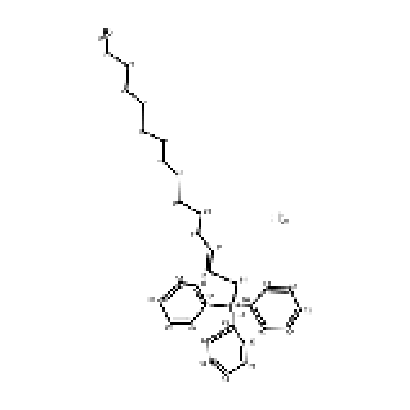 BrCCCCCCCCCCCC=CC[P+](c1ccccc1)(c1ccccc1)c1ccccc1.[Cl-]